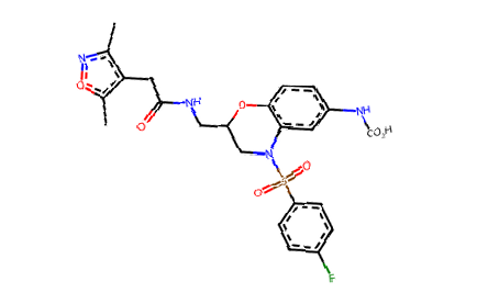 Cc1noc(C)c1CC(=O)NCC1CN(S(=O)(=O)c2ccc(F)cc2)c2cc(NC(=O)O)ccc2O1